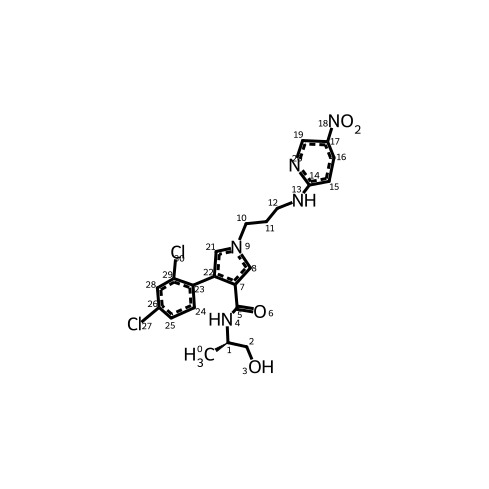 C[C@H](CO)NC(=O)c1cn(CCCNc2ccc([N+](=O)[O-])cn2)cc1-c1ccc(Cl)cc1Cl